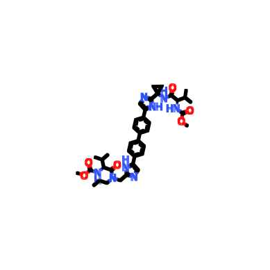 CCCN(Cc1ncc(-c2ccc(-c3ccc(-c4cnc(C5(NC(=O)[C@@H](NC(=O)OC)C(C)C)CC5)[nH]4)cc3)cc2)[nH]1)C(=O)[C@@H](NC(=O)OC)C(C)C